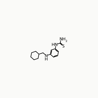 NC(=S)Nc1cccc(NCC2CCCCC2)c1